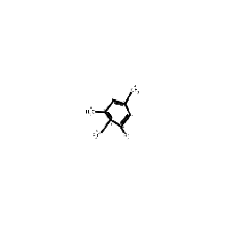 Cc1cc(C(F)(F)F)cc(Br)c1C(F)(F)F